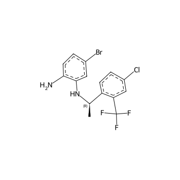 C[C@@H](Nc1cc(Br)ccc1N)c1ccc(Cl)cc1C(F)(F)F